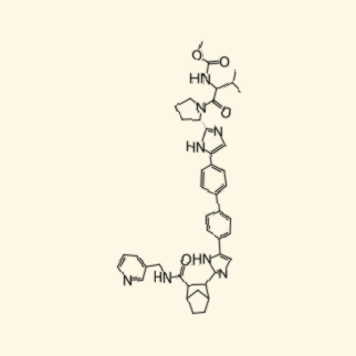 COC(=O)NC(C(=O)N1CCC[C@H]1c1ncc(-c2ccc(-c3ccc(-c4cnc(C5C6CCC(C6)C5C(=O)NCc5cccnc5)[nH]4)cc3)cc2)[nH]1)C(C)C